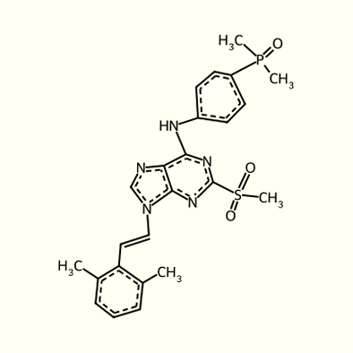 Cc1cccc(C)c1/C=C/n1cnc2c(Nc3ccc(P(C)(C)=O)cc3)nc(S(C)(=O)=O)nc21